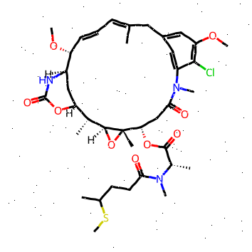 COc1cc2cc(c1Cl)N(C)C(=O)C[C@H](OC(=O)[C@H](C)N(C)C(=O)CCC(C)SC)[C@]1(C)O[C@H]1[C@H](C)[C@@H]1C[C@@H](NC(=O)O1)[C@H](OC)/C=C/C=C(\C)C2